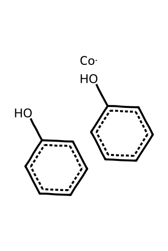 Oc1ccccc1.Oc1ccccc1.[Co]